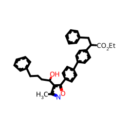 CCOC(=O)C(Cc1ccccc1)c1ccc(-c2ccc(-c3onc(C)c3C(O)CCCc3ccccc3)cc2)cc1